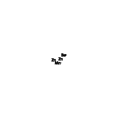 [Ba].[Mn].[Zn].[Zn]